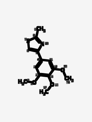 COc1cc(-c2csc(C)n2)cc(OC)c1OC